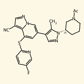 CC(=O)N1CCC[C@H](n2ncc(-c3cc(Sc4ccc(F)cn4)c4c(C#N)cnn4c3)c2C)C1